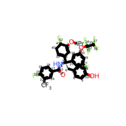 CC(C)OC1=CC([C@](Cc2ccc(O)cc2)(NC(=O)c2ccc(F)c(C(F)(F)F)c2)c2cc(F)cc(OC(F)(F)C(F)F)c2)=CCC1F